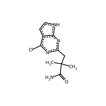 CC(C)(Cc1nc(Cl)c2cc[nH]c2n1)C(N)=O